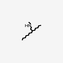 CCCCCCCC(CCCCC)CCNCC